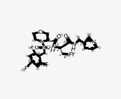 CC(C)C[C@H](NC(=O)[C@@H]1COCCN1S(=O)(=O)Cc1c(F)cc(F)cc1F)C(=O)NCc1cccnc1